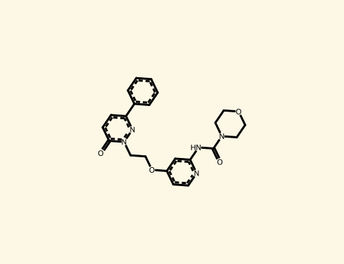 O=C(Nc1cc(OCCn2nc(-c3ccccc3)ccc2=O)ccn1)N1CCOCC1